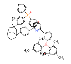 CCC1(c2ccc(P(=O)(c3ccccc3)c3ccccc3)cc2)CC2CCCC(c3ccc(-c4cccc(-c5cccc(B(c6c(C)cc(C)cc6C)c6c(C)cc(C)cc6C)c5)n4)cc3)(C2)C1